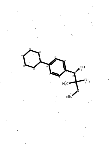 CCCCSC(C)(C)[C@H](O)c1ccc(C2CCCCC2)cc1